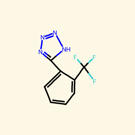 FC(F)(F)c1ccccc1-c1nnn[nH]1